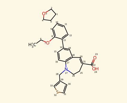 C1CCOC1.CCOc1ccccc1-c1ccc2c(c1)C=C(C(=O)O)CCN2Cc1ccsc1